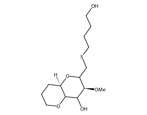 CO[C@@H]1C(CSCCCCO)O[C@@H]2CCCOC2C1O